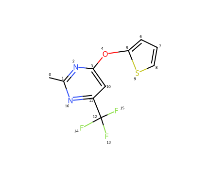 Cc1nc(Oc2cccs2)cc(C(F)(F)F)n1